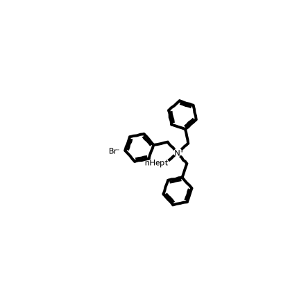 CCCCCCC[N+](Cc1ccccc1)(Cc1ccccc1)Cc1ccccc1.[Br-]